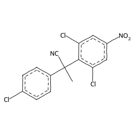 CC(C#N)(c1ccc(Cl)cc1)c1c(Cl)cc([N+](=O)[O-])cc1Cl